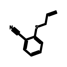 C=CCSc1ccccc1C#N